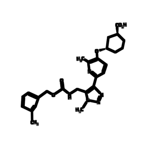 Cc1cccc(COC(=O)NCc2c(-c3ccc(O[C@H]4CCC[C@H](C(=O)O)C4)c(C)n3)nnn2C)c1